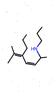 CCCNC(C)/C=C\C(CCC)=C(C)C